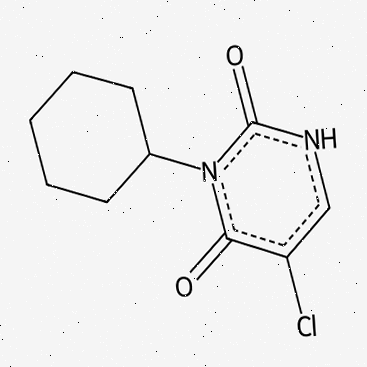 O=c1[nH]cc(Cl)c(=O)n1C1CCCCC1